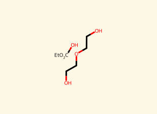 CCOC(=O)O.OCCOCCO